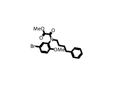 COC(=O)C(=O)N(CCCCc1ccccc1)c1cc(Br)ccc1OC